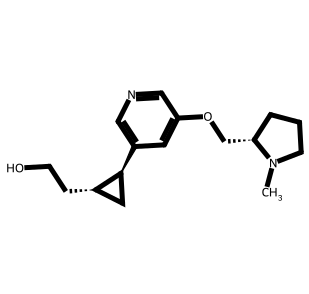 CN1CCC[C@H]1COc1cncc([C@H]2C[C@@H]2CCO)c1